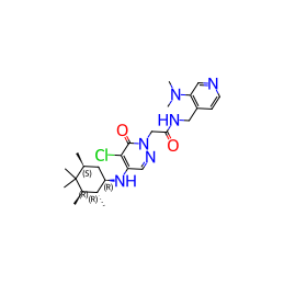 C[C@@H]1[C@@H](C)C(C)(C)[C@@H](C)C[C@H]1Nc1cnn(CC(=O)NCc2ccncc2N(C)C)c(=O)c1Cl